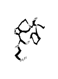 CCOC(=O)CCNC(=O)c1noc2c1CN(C(=S)N(C)C1CCCCC1)CC2